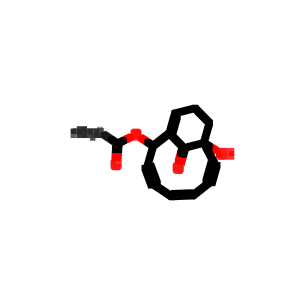 CCCCCCCC(=O)OC1C#CC=CC#CC2(O)CCC=C1C2=O